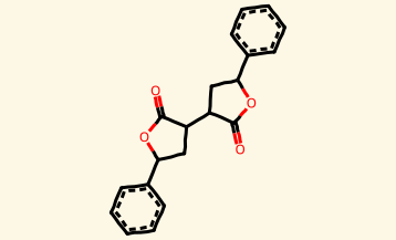 O=C1OC(c2ccccc2)CC1C1CC(c2ccccc2)OC1=O